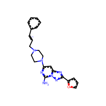 Nc1nc(N2CCN(C/C=C/c3ccccc3)CC2)cc2nc(-c3ccco3)nn12